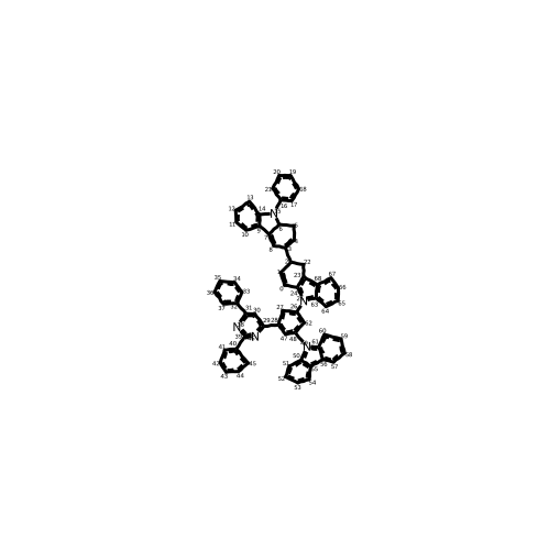 C1=CC(C2=CCC3C(=C2)c2ccccc2N3c2ccccc2)Cc2c1n(-c1cc(-c3cc(-c4ccccc4)nc(-c4ccccc4)n3)cc(-n3c4ccccc4c4ccccc43)c1)c1ccccc21